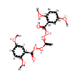 C=C(OOC(=O)c1cc(OC)ccc1OC)OOC(=O)c1cc(OC)ccc1OC